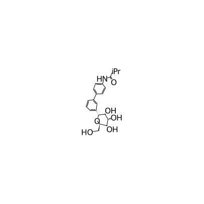 CC(C)C(=O)Nc1ccc(-c2cccc([C@H]3O[C@H](CO)[C@@H](O)[C@H](O)[C@H]3O)c2)cc1